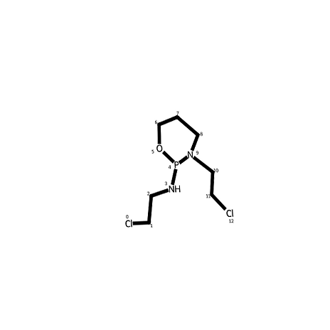 ClCCNP1OCCCN1CCCl